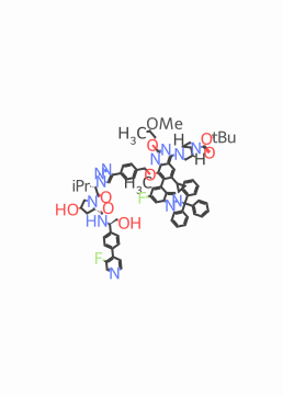 CO[C@@H](C)COc1nc(N2C[C@@H]3C[C@H]2CN3C(=O)OC(C)(C)C)c2cc(C3CC3)c(-c3c(C)c(F)cc4nn(C(c5ccccc5)(c5ccccc5)c5ccccc5)cc34)c(OCc3ccc(-c4cn([C@H](C(=O)N5C[C@H](O)C[C@H]5C(=O)N[C@@H](CO)c5ccc(-c6ccncc6F)cc5)C(C)C)nn4)cc3)c2n1